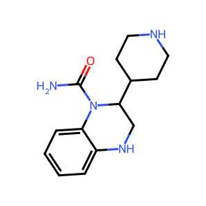 NC(=O)N1c2ccccc2NCC1C1CCNCC1